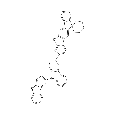 c1ccc2c(c1)-c1cc3oc4cc(-c5ccc6c(c5)c5ccccc5n6-c5ccc6sc7ccccc7c6c5)ccc4c3cc1C21CCCCC1